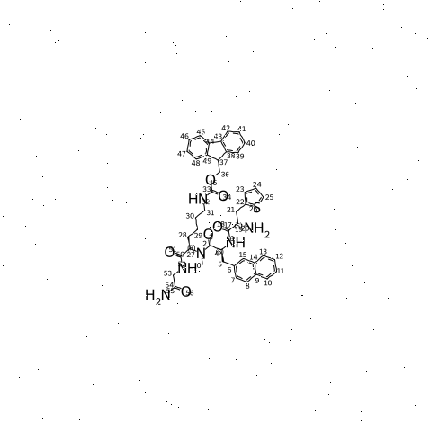 CN(C(=O)[C@H](Cc1ccc2ccccc2c1)NC(=O)[C@@H](N)Cc1cccs1)[C@H](CCCCNC(=O)OCC1c2ccccc2-c2ccccc21)C(=O)NCC(N)=O